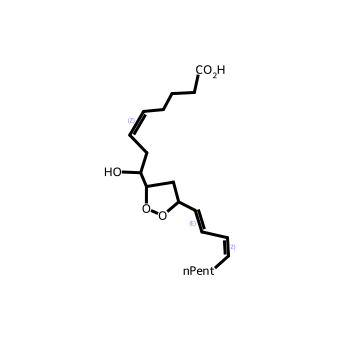 CCCCC/C=C\C=C\C1CC(C(O)C/C=C\CCCC(=O)O)OO1